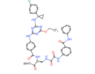 COC(=O)[C@H](CNC(=O)C(=O)Nc1cccc(C(=O)Nc2ccccc2)c1)NC(=O)c1ccc(Nc2nc(NC3(c4ccc(Cl)cc4)CC3)nc(OCC(F)(F)F)n2)cc1